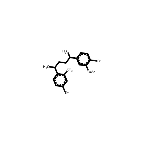 COc1cc(C(C)CCC(C)c2ccc(C(C)C)cc2C(F)(F)F)ccc1C(C)C